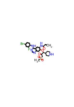 C=CC(=O)Nc1cc2c(Nc3ccc(Br)cc3F)ncnc2cc1OC(C(=O)CS(C)(=O)=O)C1CCNCC1